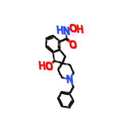 O=C(NO)c1cccc2c1CC1(CCN(Cc3ccccc3)CC1)C2O